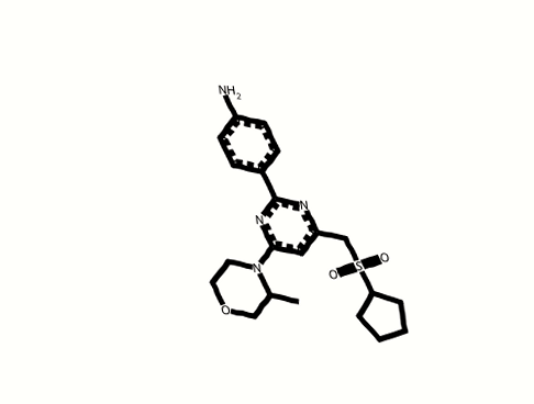 CC1COCCN1c1cc(CS(=O)(=O)C2CCCC2)nc(-c2ccc(N)cc2)n1